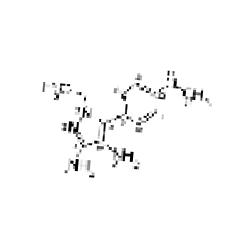 CCn1nc(N)c(N)c1-c1ccc(OC)cc1